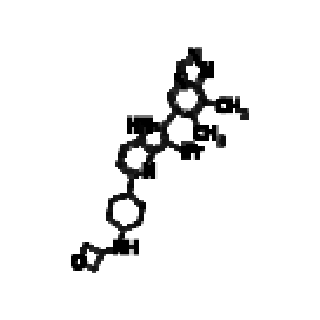 Cc1c(-c2[nH]c3ccc(C4CCC(NC5COC5)CC4)nc3c2C(C)C)cn2cnnc2c1C